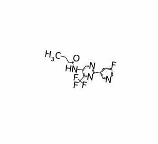 CCCC(=O)Nc1cnc(-c2cncc(F)c2)nc1C(F)(F)F